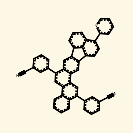 N#Cc1cccc(-c2cc3c4cc5c(cc4c(-c4cccc(C#N)c4)cc3c3ccccc23)-c2cccc3c(-c4ccccn4)ccc-5c23)c1